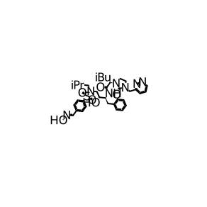 CC[C@H](C)[C@@H](C(=O)N[C@@H](Cc1ccccc1)[C@H](O)CN(CC(C)C)S(=O)(=O)c1ccc(/C=N/O)cc1)N1CCN(Cc2cccnn2)C1=O